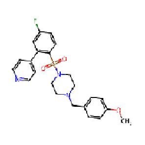 COc1ccc(CN2CCN(S(=O)(=O)c3ccc(F)cc3-c3ccncc3)CC2)cc1